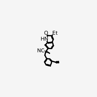 C#Cc1cccc(C[C@@](C)(C#N)c2ccc3cc(CC)c(=O)[nH]c3c2)c1